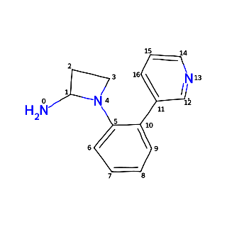 NC1CCN1c1ccccc1-c1[c]nccc1